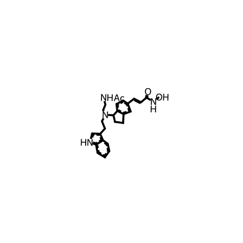 CC(=O)NCCN(CCc1c[nH]c2ccccc12)C1CCc2cc(C=CC(=O)NO)ccc21